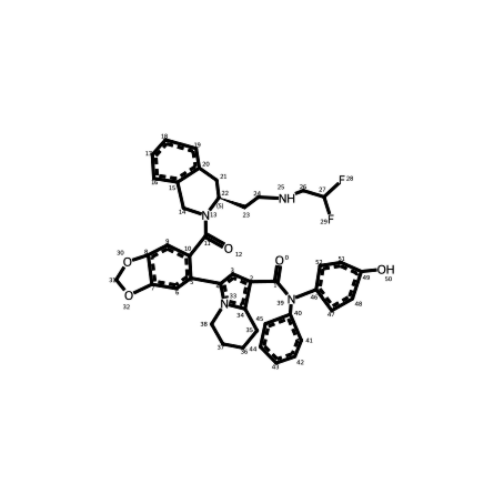 O=C(c1cc(-c2cc3c(cc2C(=O)N2Cc4ccccc4C[C@H]2CCNCC(F)F)OCO3)n2c1CCCC2)N(c1ccccc1)c1ccc(O)cc1